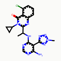 CC(Nc1ncnc(N)c1-c1nnn(C)n1)c1nc2cccc(Cl)c2c(=O)n1C1CC1